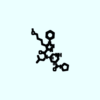 COCCCCc1c(C(=O)N(CC(C)C)[C@@H]2CNC[C@H](C(=O)N3CCCC3)C2)nnn1-c1ccccc1